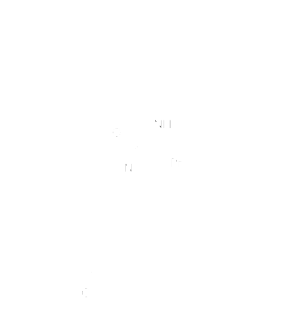 CC(C)C(NCC(c1ccccc1)c1ccccc1)C(=O)N1CCC(c2ccc(Cl)cc2)CC1